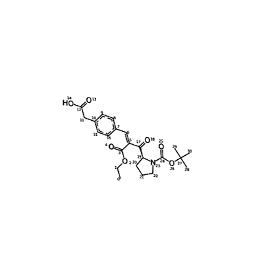 CCOC(=O)C(=Cc1ccc(CC(=O)O)cc1)C(=O)[C@@H]1CCCN1C(=O)OC(C)(C)C